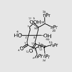 CCCC(CCC)C(=O)C(O)(CO)C(O)(C(=O)C(CCC)CCC)C(=O)C(CCC)CCC